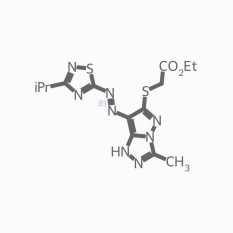 CCOC(=O)CSc1nn2c(C)n[nH]c2c1/N=N/c1nc(C(C)C)ns1